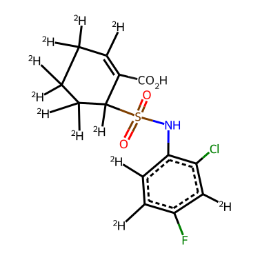 [2H]C1=C(C(=O)O)C([2H])(S(=O)(=O)Nc2c([2H])c([2H])c(F)c([2H])c2Cl)C([2H])([2H])C([2H])([2H])C1([2H])[2H]